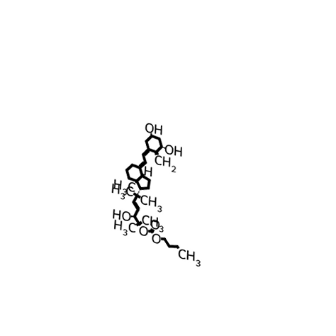 C=C1/C(=C\C=C2/CCC[C@]3(C)[C@@H](C(C)(C)/C=C/[C@H](O)C(C)(C)OC(=O)OCCCC)CC[C@@H]23)C[C@@H](O)C[C@@H]1O